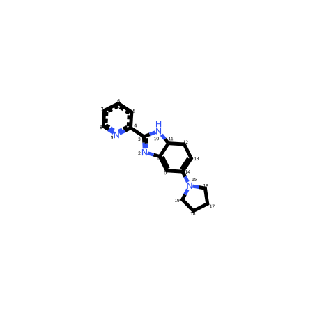 C1=C2N=C(c3ccccn3)NC2CC=C1N1CCCC1